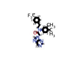 Cc1ccc(N(CCc2ccc(C(F)(F)F)cc2)C(=O)Cn2cnc3cncnc32)cc1C